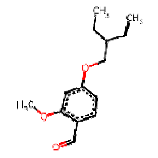 CCC(CC)COc1ccc(C=O)c(OC)c1